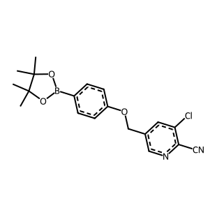 CC1(C)OB(c2ccc(OCc3cnc(C#N)c(Cl)c3)cc2)OC1(C)C